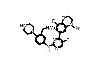 CNCc1cc(Nc2ncc(F)c(-c3cc(F)c4c(c3)N(C(C)C)CCO4)n2)ccc1N1CCNCC1